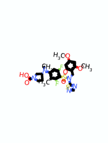 COc1ccc(CN(c2ncns2)S(=O)(=O)c2c(F)cc(N(C)C3CCN(C(=O)O)C3)c(C)c2F)c(OC)c1